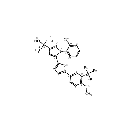 COc1ccc(-c2ccc(-c3cc(C(C)(C)O)nn3-c3ccccc3Cl)s2)cc1C(F)(F)F